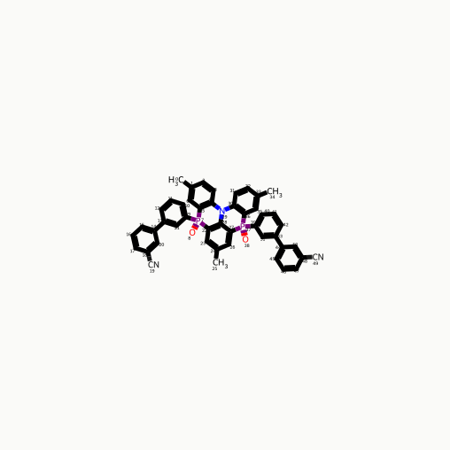 Cc1ccc2c(c1)P(=O)(c1cccc(-c3cccc(C#N)c3)c1)c1cc(C)cc3c1N2c1ccc(C)cc1P3(=O)c1cccc(-c2cccc(C#N)c2)c1